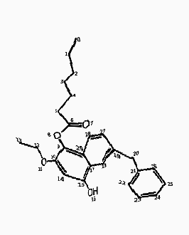 CCCCCCC(=O)Oc1c(OCC)cc(O)c2cc(Cc3ccccc3)ccc12